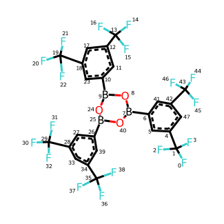 FC(F)(F)c1cc(B2OB(c3cc(C(F)(F)F)cc(C(F)(F)F)c3)OB(c3cc(C(F)(F)F)cc(C(F)(F)F)c3)O2)cc(C(F)(F)F)c1